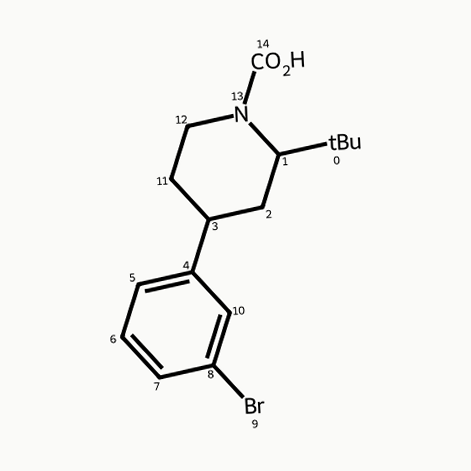 CC(C)(C)C1CC(c2cccc(Br)c2)CCN1C(=O)O